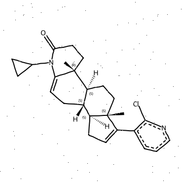 C[C@]12CCC(=O)N(C3CC3)C1=CC[C@@H]1[C@@H]2CC[C@]2(C)C(c3cccnc3Cl)=CC[C@@H]12